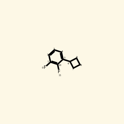 Fc1cccc([C]2CCC2)c1F